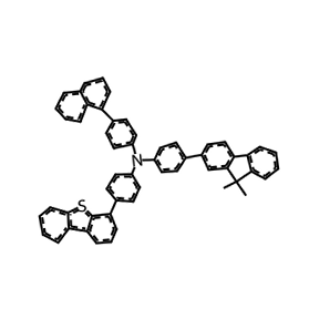 CC1(C)c2ccccc2-c2ccc(-c3ccc(N(c4ccc(-c5cccc6ccccc56)cc4)c4ccc(-c5cccc6c5sc5ccccc56)cc4)cc3)cc21